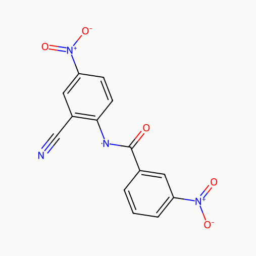 N#Cc1cc([N+](=O)[O-])ccc1[N]C(=O)c1cccc([N+](=O)[O-])c1